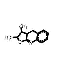 CC1OC2=Nc3ccccc3CC2C1C